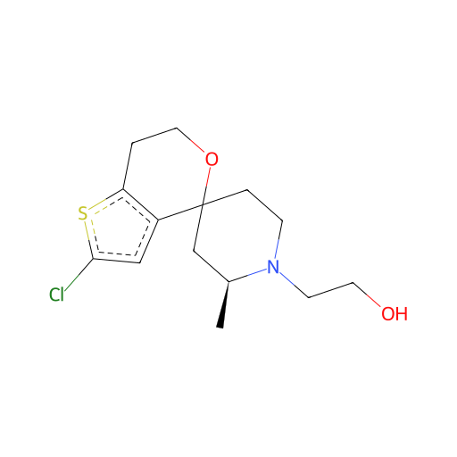 C[C@H]1CC2(CCN1CCO)OCCc1sc(Cl)cc12